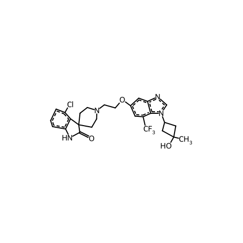 CC1(O)CC(n2cnc3cc(OCCN4CCC5(CC4)C(=O)Nc4cccc(Cl)c45)cc(C(F)(F)F)c32)C1